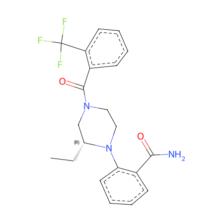 CC[C@@H]1CN(C(=O)c2ccccc2C(F)(F)F)CCN1c1ccccc1C(N)=O